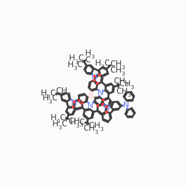 CC(C)(C)c1cc(-c2ccccc2)c(N2c3cc(-n4c5ccc(C(C)(C)C)cc5c5cc(C(C)(C)C)ccc54)ccc3B3c4ccc(-n5c6ccc(C(C)(C)C)cc6c6cc(C(C)(C)C)ccc65)cc4N(c4c(-c5ccccc5)cc(C(C)(C)C)cc4-c4ccccc4)c4cc(-n5c6ccccc6c6cc(N(c7ccccc7)c7ccccc7)ccc65)cc2c43)c(-c2ccccc2)c1